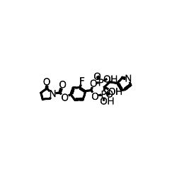 O=C1CCCN1C(=O)Oc1ccc(C2OP(=O)(O)C(O)(Cc3cccnc3)P(=O)(O)O2)c(F)c1